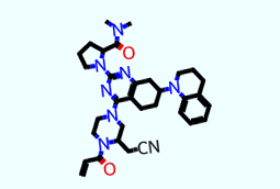 C=CC(=O)N1CCN(c2nc(N3CCCC3C(=O)N(C)C)nc3c2CCC(N2CCCc4ccccc42)C3)CC1CC#N